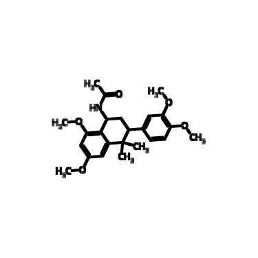 COc1cc(OC)c2c(c1)C(C)(C)C(c1ccc(OC)c(OC)c1)CC2NC(C)=O